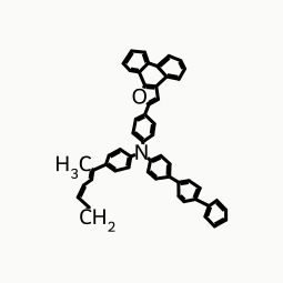 C=C/C=C\C=C(/C)c1ccc(N(c2ccc(-c3ccc(-c4ccccc4)cc3)cc2)c2ccc(-c3cc4c5ccccc5c5ccccc5c4o3)cc2)cc1